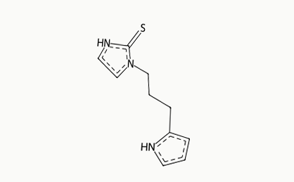 S=c1[nH]ccn1CCCc1ccc[nH]1